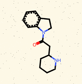 O=C(CC1CCCCN1)N1CCc2cc[c]cc21